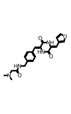 CN(C)CC(=O)NCc1ccc(C=c2[nH]c(=O)c(=Cc3ccoc3)[nH]c2=O)cc1